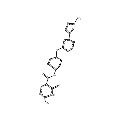 CC(=O)Oc1ncc(C(=O)Nc2ccc(Oc3ccnc(-c4cnn(C)c4)c3)cn2)c(=O)[nH]1